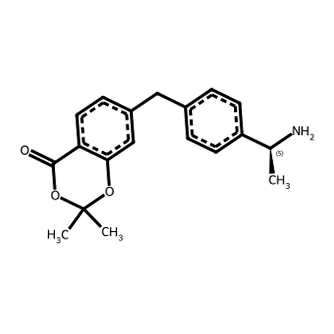 C[C@H](N)c1ccc(Cc2ccc3c(c2)OC(C)(C)OC3=O)cc1